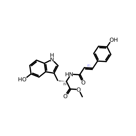 COC(=O)[C@H](Cc1c[nH]c2ccc(O)cc12)NC(=O)/C=C/c1ccc(O)cc1